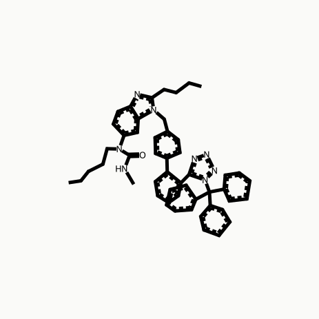 CCCCCN(C(=O)NC)c1ccc2nc(CCCC)n(Cc3ccc(-c4ccccc4-c4nnnn4C(c4ccccc4)(c4ccccc4)c4ccccc4)cc3)c2c1